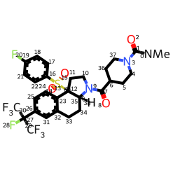 CNC(=O)N1CCC(C(=O)N2CC[C@@]3(S(=O)(=O)c4ccc(F)cc4)c4ccc(C(F)(C(F)(F)F)C(F)(F)F)cc4CC[C@@H]23)CC1